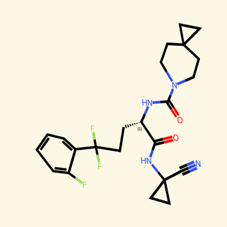 N#CC1(NC(=O)[C@H](CCC(F)(F)c2ccccc2F)NC(=O)N2CCC3(CC2)CC3)CC1